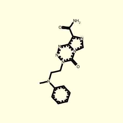 CN(CCn1nnc2c(C(N)=O)ncn2c1=O)c1ccccc1